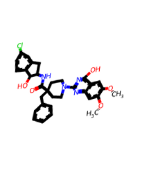 COc1cc2nc(N3CCC(Cc4ccccc4)(C(=O)NC4Cc5cc(Cl)ccc5C4O)CC3)nc(O)c2cc1OC